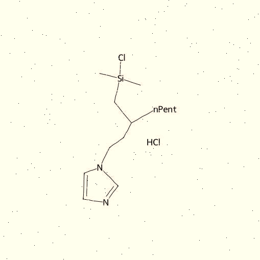 CCCCCC(CCn1ccnc1)C[Si](C)(C)Cl.Cl